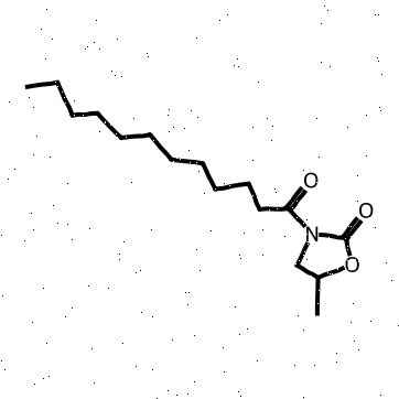 CCCCCCCCCCCC(=O)N1CC(C)OC1=O